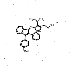 COc1ccc(C2=C(c3ccccc3)/C(=N\c3cnn(CCO)c3N(C)C)c3cccc[n+]32)cc1